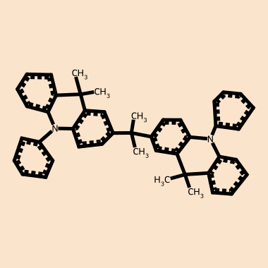 CC(C)(c1ccc2c(c1)C(C)(C)c1ccccc1N2c1ccccc1)c1ccc2c(c1)C(C)(C)c1ccccc1N2c1ccccc1